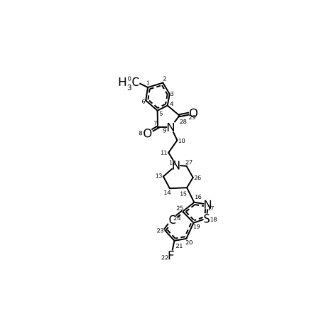 Cc1ccc2c(c1)C(=O)N(CCN1CCC(c3nsc4cc(F)ccc34)CC1)C2=O